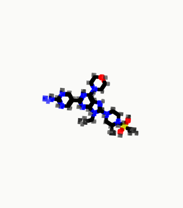 CC[C@H]1CN(c2nc3c(N4CCOCC4)nc(-c4cnc(N)nc4)nc3n2CC(F)(F)F)CCN1S(C)(=O)=O